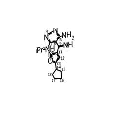 CC(C)Nc1ncnc(N)c1C(=N)c1cc(C2CCCC2)on1